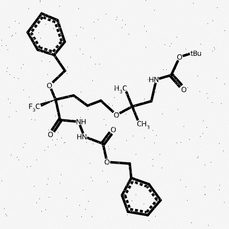 CC(C)(C)OC(=O)NCC(C)(C)OCCC[C@@](OCc1ccccc1)(C(=O)NNC(=O)OCc1ccccc1)C(F)(F)F